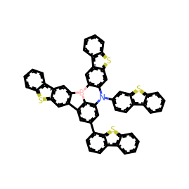 c1ccc2c(c1)sc1cc(N3c4cc5sc6ccccc6c5cc4B4c5cc6c(cc5-c5cc(-c7cccc8c7sc7ccccc78)cc3c54)sc3ccccc36)ccc12